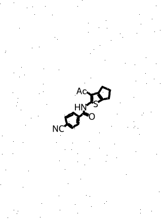 CC(=O)c1c(NC(=O)c2ccc(C#N)cc2)sc2c1CCC2